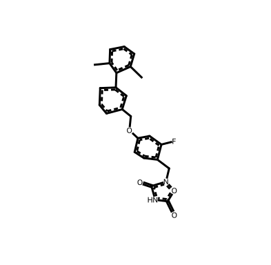 Cc1cccc(C)c1-c1cccc(COc2ccc(Cn3oc(=O)[nH]c3=O)c(F)c2)c1